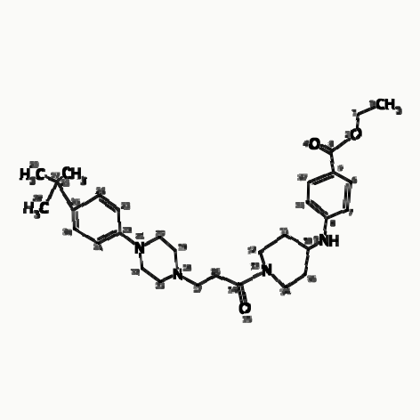 CCOC(=O)c1ccc(NC2CCN(C(=O)CCN3CCN(c4ccc(C(C)(C)C)cc4)CC3)CC2)cc1